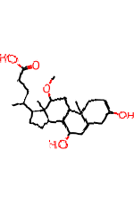 COC1CC2C(C(O)CC3CC(O)CCC32C)C2CCC(C(C)CCC(=O)O)C12C